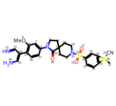 COc1cc(N2CCC3(CCN(S(=O)(=O)c4ccc5c(c4)S5(C)C#N)CC3)C2=O)ccc1/C(C=N)=C/N